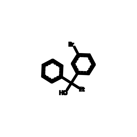 CCC(O)(c1ccccc1)c1cccc(Br)c1